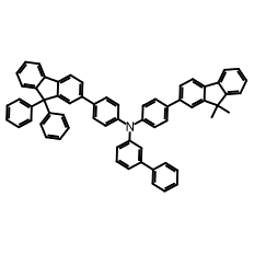 CC1(C)c2ccccc2-c2ccc(-c3ccc(N(c4ccc(-c5ccc6c(c5)C(c5ccccc5)(c5ccccc5)c5ccccc5-6)cc4)c4cccc(-c5ccccc5)c4)cc3)cc21